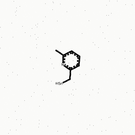 Cc1cccc([CH2][SnH])n1